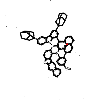 CC(C)(C)c1ccc(N2c3cc4ccccc4c4c3B(c3ccc5oc6cc7ccccc7cc6c5c32)n2c3ccc(C56CC7CC(CC(C7)C5)C6)cc3c3cc(C56CC7CC(CC(C7)C5)C6)cc-4c32)c(-c2ccccc2)c1